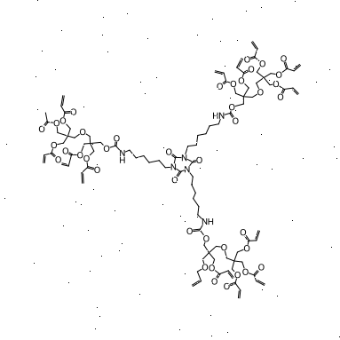 C=CCOCC(COCC(COC(=O)C=C)(COC(=O)C=C)COC(=O)C=C)(COC(=O)C=C)COC(=O)NCCCCCCn1c(=O)n(CCCCCCNC(=O)OCC(COCC(COC(C)=O)(COC(=O)C=C)COC(=O)C=C)(COC(=O)C=C)COC(=O)C=C)c(=O)n(CCCCCCNC(=O)OCC(COCC(COC(=O)C=C)(COC(=O)C=C)COC(=O)C=C)(COC(=O)C=C)COC(=O)C=C)c1=O